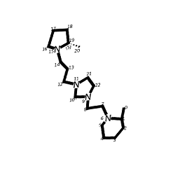 CC1CCCCN1CCN1[C]N(CCCN2CCC[C@@H]2C)CC1